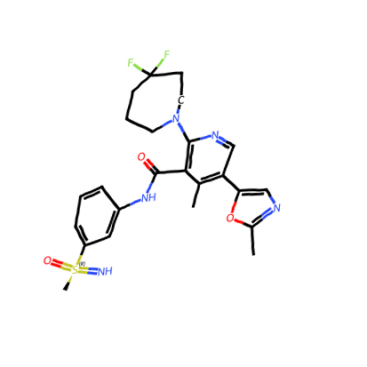 Cc1ncc(-c2cnc(N3CCCC(F)(F)CC3)c(C(=O)Nc3cccc([S@](C)(=N)=O)c3)c2C)o1